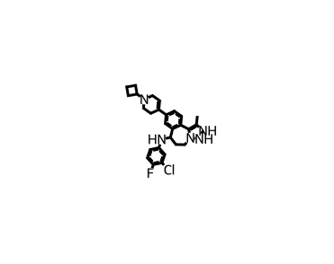 CC1=C2c3ccc(C4=CCN(C5CCC5)CC4)cc3C(Nc3ccc(F)c(Cl)c3)CCN2NN1